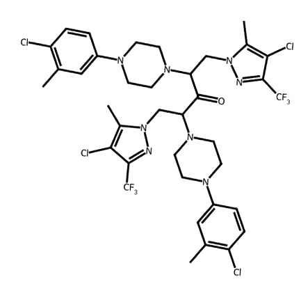 Cc1cc(N2CCN(C(Cn3nc(C(F)(F)F)c(Cl)c3C)C(=O)C(Cn3nc(C(F)(F)F)c(Cl)c3C)N3CCN(c4ccc(Cl)c(C)c4)CC3)CC2)ccc1Cl